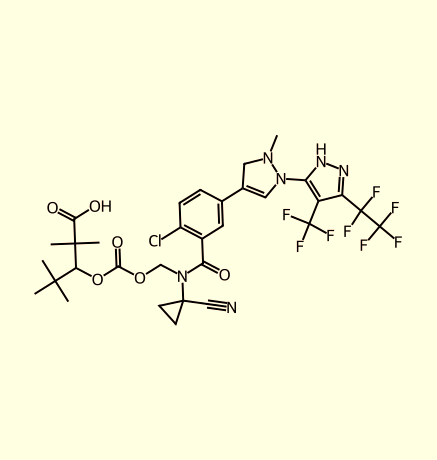 CN1CC(c2ccc(Cl)c(C(=O)N(COC(=O)OC(C(C)(C)C)C(C)(C)C(=O)O)C3(C#N)CC3)c2)=CN1c1[nH]nc(C(F)(F)C(F)(F)F)c1C(F)(F)F